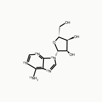 [15NH2]c1[15n]c[15n]c2c1[15n]c[15n]2[C@@H]1O[C@H](CO)[C@@H](O)[C@H]1O